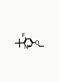 CCOc1cnc(C(C)(C)C)c(F)c1